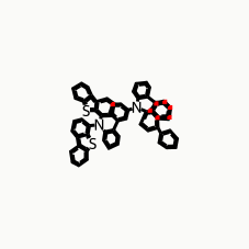 c1ccc(-c2ccccc2N(c2cccc(-c3ccccc3N(c3cccc4c3sc3ccccc34)c3cccc4c3sc3ccccc34)c2)c2ccc(-c3ccccc3)c3ccccc23)cc1